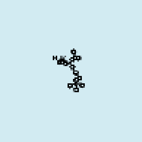 CC1(C)c2ccccc2-c2ccc(N(c3ccc(-c4ccc(-c5cccc6c5ccc5c(-c7ccccc7)c(-c7ccccc7)n(-c7ccccc7)c56)cc4)cc3)c3ccc4c(c3)c3ccccc3n4-c3ccccc3)cc21